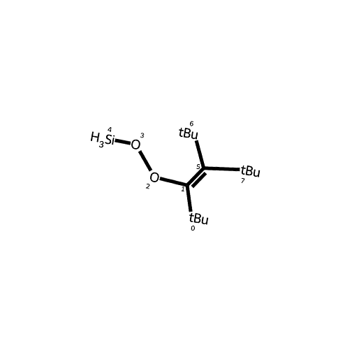 CC(C)(C)C(OO[SiH3])=C(C(C)(C)C)C(C)(C)C